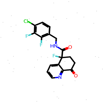 O=C1CCC(F)(C(=O)NCc2ccc(Cl)c(F)c2F)c2cccnc21